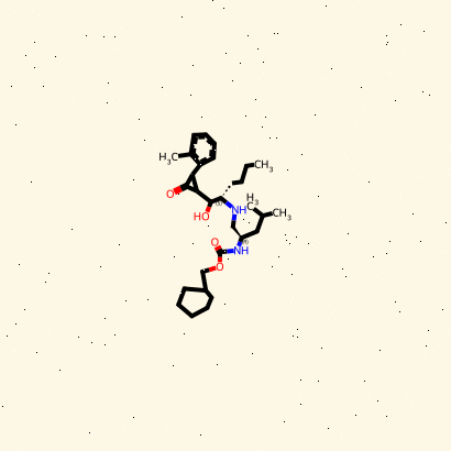 CCCC[C@H](NC[C@@H](CC(C)C)NC(=O)OCC1CCCCC1)C(O)C1C(=O)C1c1ccccc1C